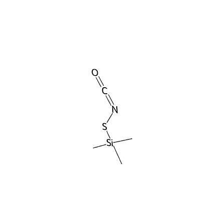 C[Si](C)(C)SN=C=O